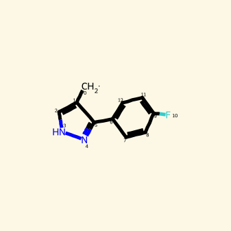 [CH2]c1c[nH]nc1-c1ccc(F)cc1